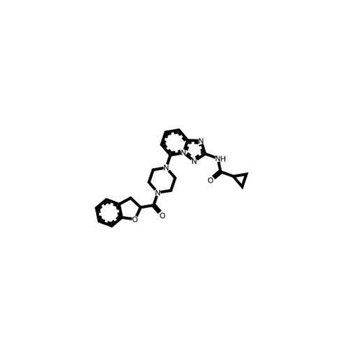 O=C(Nc1nc2cccc(N3CCN(C(=O)C4Cc5ccccc5O4)CC3)n2n1)C1CC1